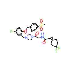 CS(=O)(=O)c1ccc(COc2ccc(F)cc2CN2CCN(C(=O)CNC(=O)C3CC34CCC(F)(F)CC4)CC2)cc1